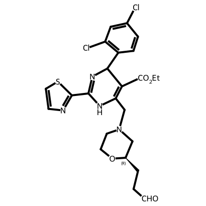 CCOC(=O)C1=C(CN2CCO[C@H](CCC=O)C2)NC(c2nccs2)=NC1c1ccc(Cl)cc1Cl